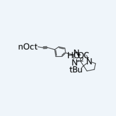 CCCCCCCCC#Cc1ccc(-c2noc(C3(C(C)(C)C)CCCN3C(=O)O)n2)cc1